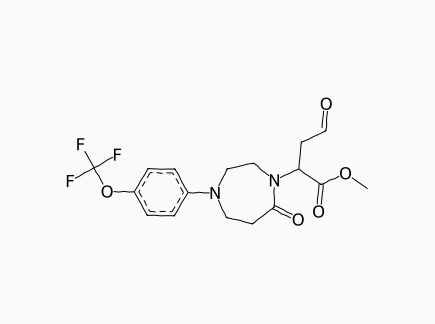 COC(=O)C(CC=O)N1CCN(c2ccc(OC(F)(F)F)cc2)CCC1=O